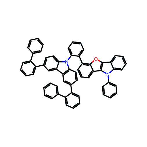 c1ccc(-c2ccccc2-c2ccc3c(c2)c2cc(-c4ccccc4-c4ccccc4)ccc2n3-c2ccccc2-c2cccc3c2oc2c4ccccc4n(-c4ccccc4)c32)cc1